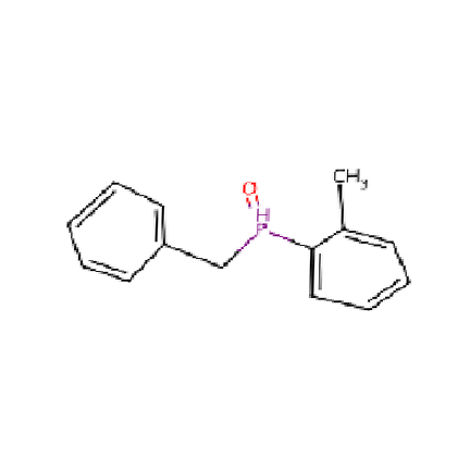 Cc1ccccc1[PH](=O)Cc1ccccc1